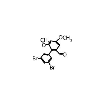 COc1cc(C=O)c(-c2cc(Br)cc(Br)c2)c(OC)c1